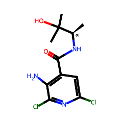 C[C@@H](NC(=O)c1cc(Cl)nc(Cl)c1N)C(C)(C)O